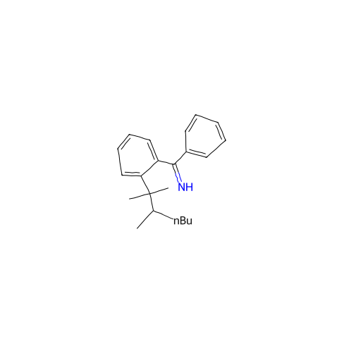 CCCCC(C)C(C)(C)c1ccccc1C(=N)c1ccccc1